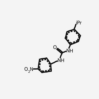 CC(C)c1ccc(NC(=O)Nc2ccc([N+](=O)[O-])cc2)cc1